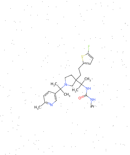 Cc1ccc(C(C)(C)N2CCC(CCc3ccc(F)s3)(C(C)(C)NC(=O)NC(C)C)C2)cn1